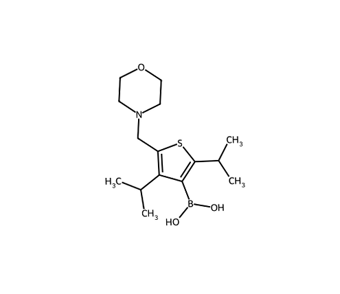 CC(C)c1sc(CN2CCOCC2)c(C(C)C)c1B(O)O